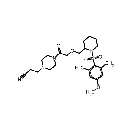 COc1cc(C)c(S(=O)(=O)N2CCCCC2COCC(=O)N2CCN(CCC#N)CC2)c(C)c1